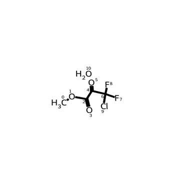 COC(=O)C(=O)C(F)(F)Cl.O